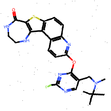 CN(Cc1cnc(F)nc1Oc1ccc2c(ccc3sc4c(c32)NCCNC4=O)n1)C(C)(C)C